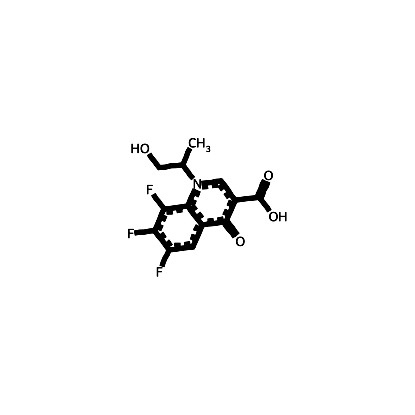 CC(CO)n1cc(C(=O)O)c(=O)c2cc(F)c(F)c(F)c21